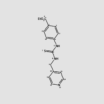 CCOC(=O)c1ccc(NC(=S)NCc2ccncc2)cc1